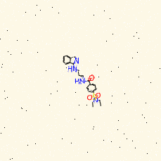 CCN(CC)S(=O)(=O)c1ccc(C(=O)NCCCNC2=NCc3ccccc32)cc1